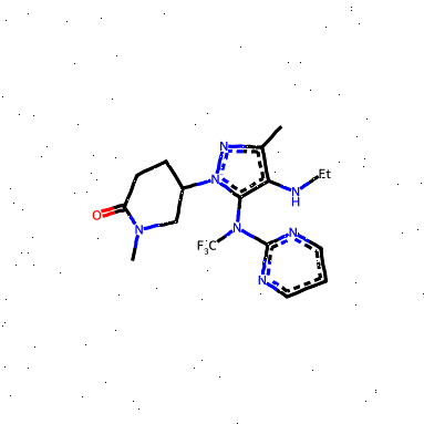 CCNc1c(C)nn(C2CCC(=O)N(C)C2)c1N(c1ncccn1)C(F)(F)F